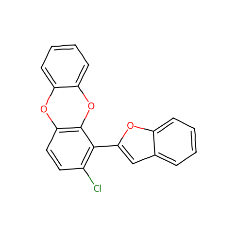 Clc1ccc2c(c1-c1cc3ccccc3o1)Oc1ccccc1O2